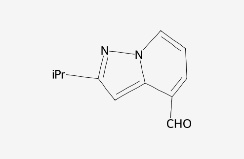 CC(C)c1cc2c(C=O)cccn2n1